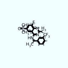 Cc1nc(N[C@H](C)c2cccc(C(F)(F)F)c2)c2cc(P(C)(C)=O)cc(F)c2n1